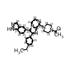 CCc1ccc(-c2nc3c(N4CCN(C(C)=O)CC4)nccn3c2-c2ccc3[nH]ncc3c2)cc1